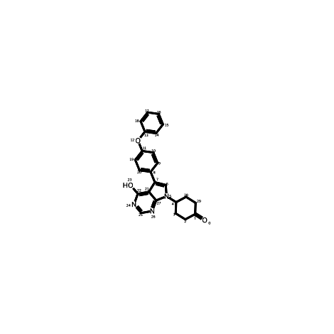 O=C1CCC(n2cc(-c3ccc(Oc4ccccc4)cc3)c3c(O)ncnc32)CC1